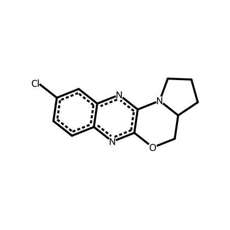 Clc1ccc2nc3c(nc2c1)N1CCCC1CO3